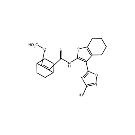 CC(C)c1noc(-c2c(NC(=O)C3=C(OC(=O)O)C4CCC3CC4)sc3c2CCCC3)n1